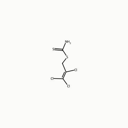 NC(=S)SCC(Cl)=C(Cl)Cl